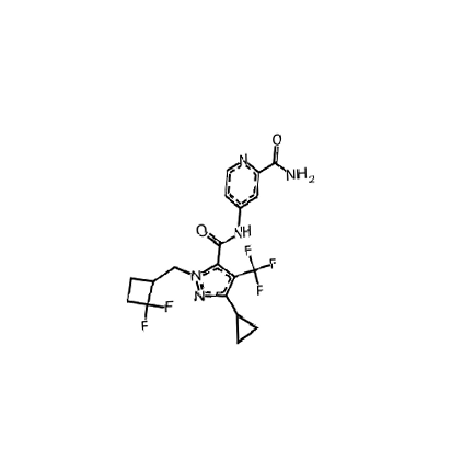 NC(=O)c1cc(NC(=O)c2c(C(F)(F)F)c(C3CC3)nn2CC2CCC2(F)F)ccn1